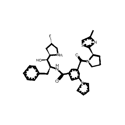 Cc1csc([C@H]2CCCN2C(=O)c2cc(C(=O)N[C@@H](Cc3ccccc3)[C@@H](O)[C@H]3C[C@H](F)CN3)cc(-n3cccc3)c2)n1